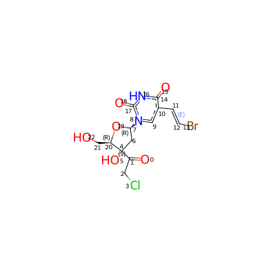 O=C(CCl)[C@]1(O)C[C@H](n2cc(/C=C/Br)c(=O)[nH]c2=O)O[C@@H]1CO